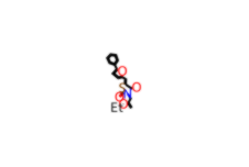 C=C(CN1C(=O)S/C(=C\c2ccc(-c3ccccc3)o2)C1=O)OCC